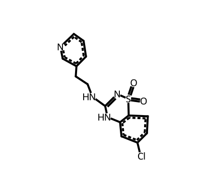 O=S1(=O)N=C(NCCc2cccnc2)Nc2cc(Cl)ccc21